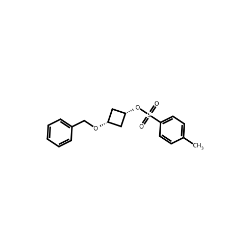 Cc1ccc(S(=O)(=O)O[C@H]2C[C@@H](OCc3ccccc3)C2)cc1